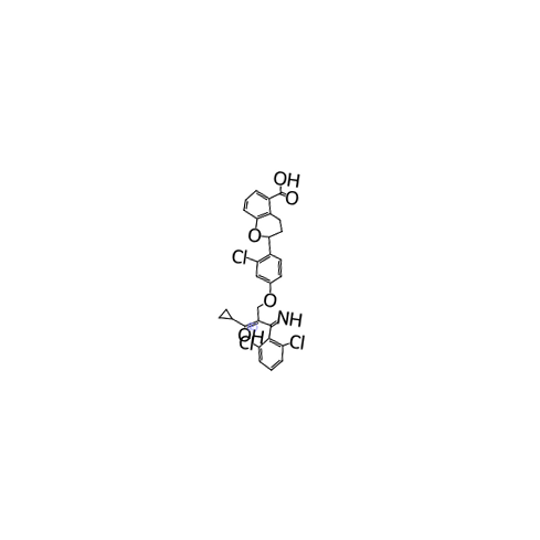 N=C(/C(COc1ccc(C2CCc3c(cccc3C(=O)O)O2)c(Cl)c1)=C(\O)C1CC1)c1c(Cl)cccc1Cl